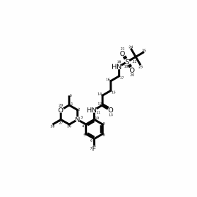 CC1CN(c2cc(F)ccc2NC(=O)CCCCNS(=O)(=O)C(C)(C)C)CC(C)O1